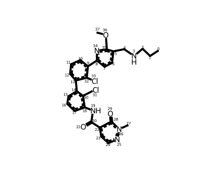 CCCNCc1ccc(-c2cccc(-c3cccc(NC(=O)c4ccnn(C)c4=O)c3Cl)c2Cl)nc1OC